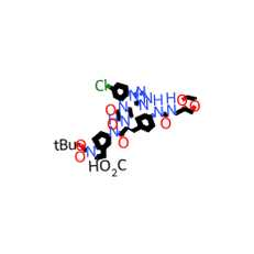 CC(C)(C)OC(=O)n1c(C(=O)O)cc2cc(NC(=O)[C@H](Cc3ccc(NC(=O)NCC4COCCO4)cc3)N3CCN(c4cc(Cl)ccc4-n4cnnn4)C(=O)C3=O)ccc21